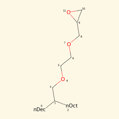 CCCCCCCCCCC(CCCCCCCC)COCCOCC1CO1